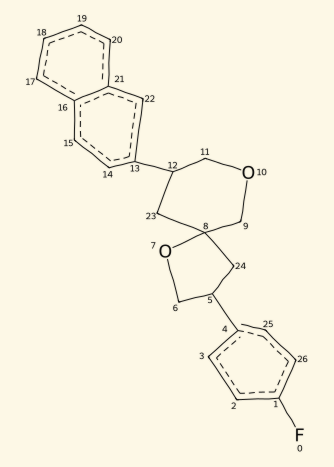 Fc1ccc(C2COC3(COCC(c4ccc5ccccc5c4)C3)C2)cc1